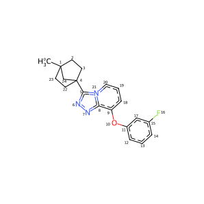 CC12CCC(c3nnc4c(Oc5cccc(F)c5)cccn34)(CC1)C2